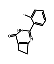 O=c1[nH]c(-c2ccccc2F)nc2c1CC2